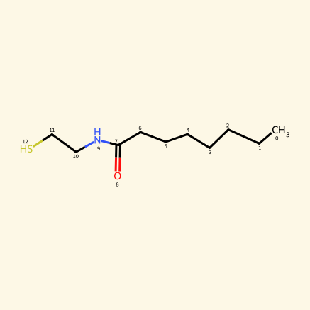 CCCCCCCC(=O)NCCS